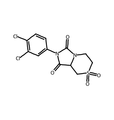 O=C1C2CS(=O)(=O)CCN2C(=O)N1c1ccc(Cl)c(Cl)c1